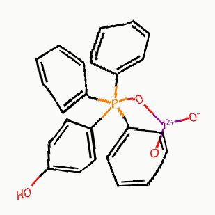 [O-][I+2]([O-])OP(c1ccccc1)(c1ccccc1)(c1ccccc1)c1ccc(O)cc1